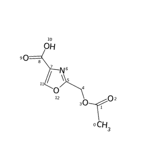 CC(=O)OCc1nc(C(=O)O)co1